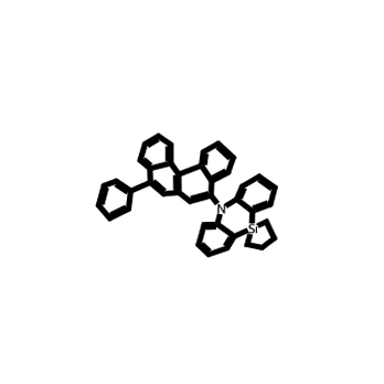 c1ccc(-c2cc3cc(N4c5ccccc5[Si]5(CCCC5)c5ccccc54)c4ccccc4c3c3ccccc23)cc1